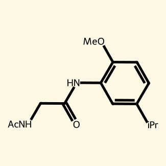 COc1ccc(C(C)C)cc1NC(=O)CNC(C)=O